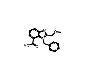 COCc1nc2cccc(C(=O)O)c2n1Cc1ccccc1